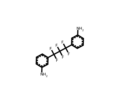 Nc1cccc(C(F)(F)C(F)(F)C(F)(F)c2cccc(N)c2)c1